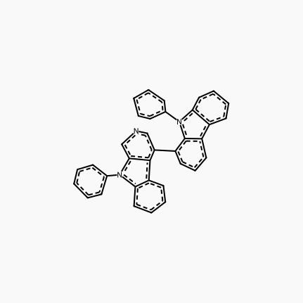 c1ccc(-n2c3ccccc3c3c(-c4cccc5c6ccccc6n(-c6ccccc6)c45)cncc32)cc1